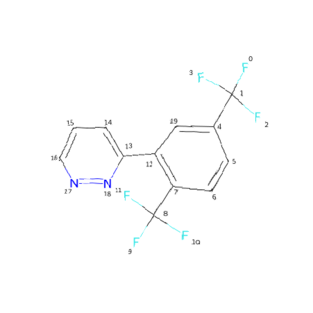 FC(F)(F)c1ccc(C(F)(F)F)c(-c2cc[c]nn2)c1